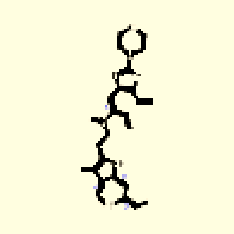 C=C/C(=C\c1nc(N2CCOCC2)oc1C=C)N(C)CCc1[nH]c(=C/C(F)=C\C)/c(=C\C)c1C